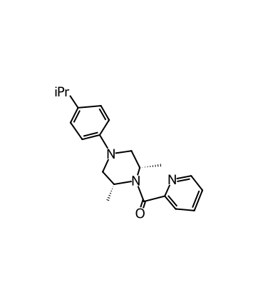 CC(C)c1ccc(N2C[C@@H](C)N(C(=O)c3ccccn3)[C@@H](C)C2)cc1